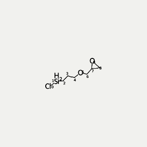 Cl[SiH2]CCCOCC1CO1